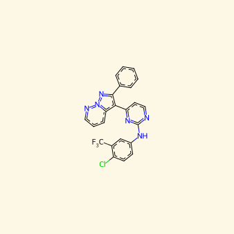 FC(F)(F)c1cc(Nc2nccc(-c3c(-c4ccccc4)nn4ncccc34)n2)ccc1Cl